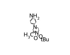 C[C@@H]1CN(c2ccc(N)cc2)CCN1C(=O)OC(C)(C)C